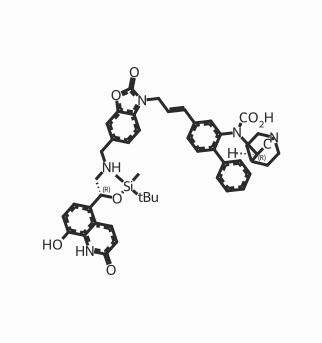 CC(C)(C)[Si](C)(C)O[C@@H](CNCc1ccc2c(c1)oc(=O)n2CC=Cc1ccc(-c2ccccc2)c(N(C(=O)O)[C@H]2CN3CCC2CC3)c1)c1ccc(O)c2[nH]c(=O)ccc12